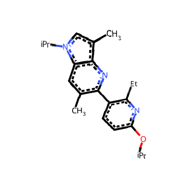 CCc1nc(OC(C)C)ccc1-c1nc2c(C)cn(C(C)C)c2cc1C